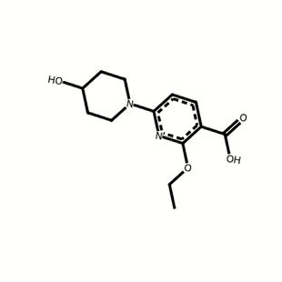 CCOc1nc(N2CCC(O)CC2)ccc1C(=O)O